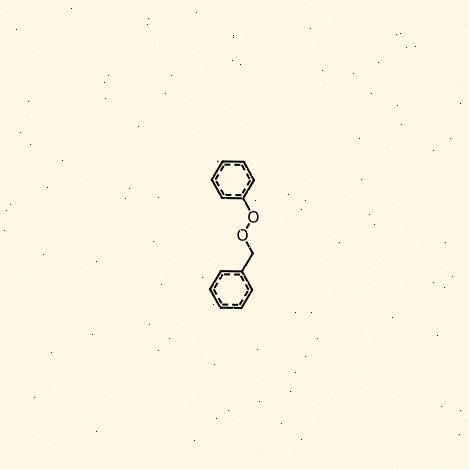 [c]1ccc(OOCc2ccccc2)cc1